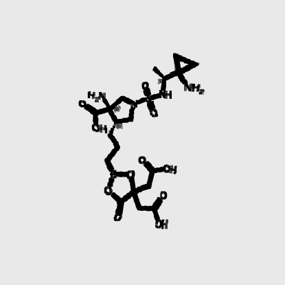 C[C@H](NS(=O)(=O)N1C[C@H](CCCB2OC(=O)C(CC(=O)O)(CC(=O)O)O2)[C@](N)(C(=O)O)C1)C1(N)CC1